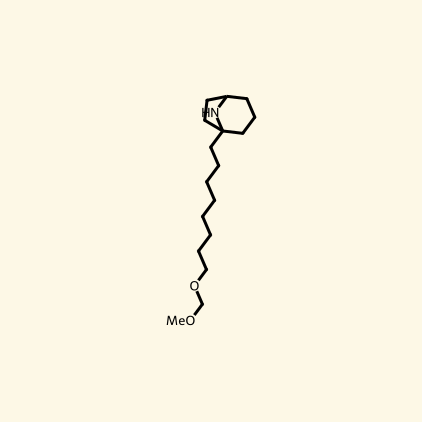 COCOCCCCCCCCC12CCCC(CC1)N2